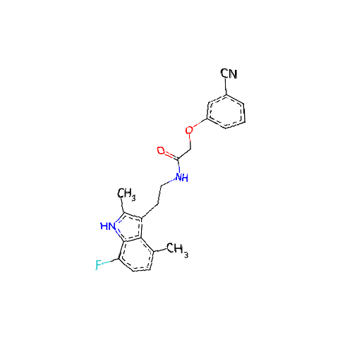 Cc1[nH]c2c(F)ccc(C)c2c1CCNC(=O)COc1cccc(C#N)c1